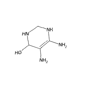 NC1=C(N)C(O)NCN1